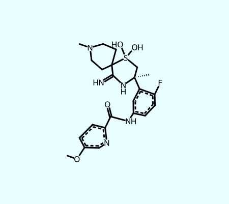 COc1ccc(C(=O)Nc2ccc(F)c([C@]3(C)CS(O)(O)C4(CCN(C)CC4)C(=N)N3)c2)nc1